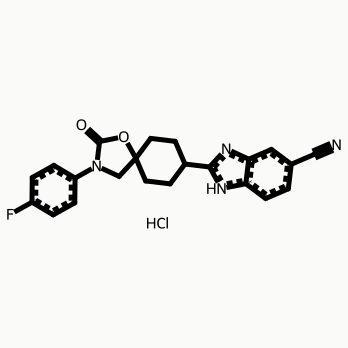 Cl.N#Cc1ccc2[nH]c(C3CCC4(CC3)CN(c3ccc(F)cc3)C(=O)O4)nc2c1